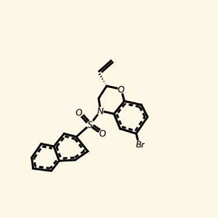 C=C[C@H]1CN(S(=O)(=O)c2ccc3ccccc3c2)c2cc(Br)ccc2O1